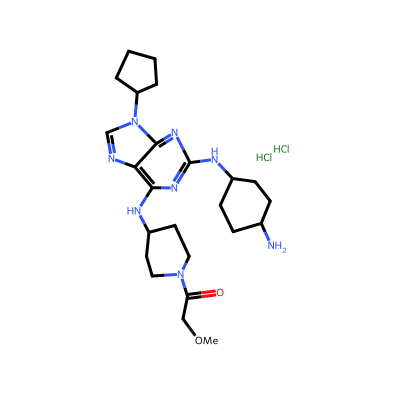 COCC(=O)N1CCC(Nc2nc(NC3CCC(N)CC3)nc3c2ncn3C2CCCC2)CC1.Cl.Cl